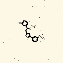 O=COC(Cc1cc(-c2cccc(OC(F)(F)F)c2)[nH]n1)c1cccc(Cl)c1